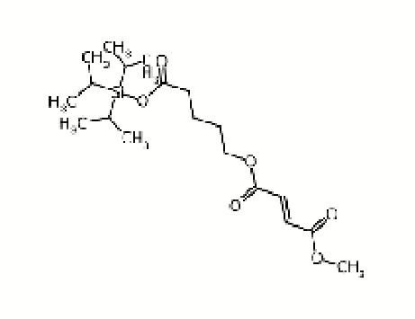 COC(=O)C=CC(=O)OCCCCC(=O)O[Si](C(C)C)(C(C)C)C(C)C